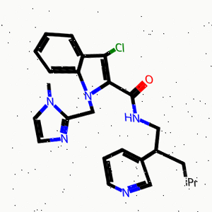 CC(C)CC(CNC(=O)c1c(Cl)c2ccccc2n1Cc1nccn1C)c1cccnc1